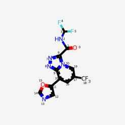 O=C(NC(F)F)c1nnc2c(-c3cnco3)cc(C(F)(F)F)cn12